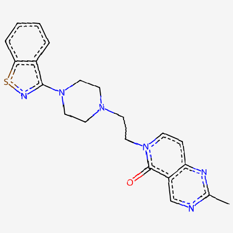 Cc1ncc2c(=O)n(CCN3CCN(c4nsc5ccccc45)CC3)ccc2n1